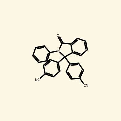 N#Cc1ccc(C2(c3ccc(C#N)cc3)c3ccccc3C(=O)N2c2ccccc2)cc1